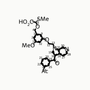 COc1cc(CO[C@H](SC)C(=O)O)cc(OCCn2cc(C(=O)c3cccc(C(C)=O)c3)c3ccncc32)c1